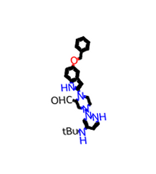 CC(C)(C)NC1=CN(N2CCN(c3cc4cc(OCc5ccccc5)ccc4[nH]3)C(C=O)C2)NC=C1